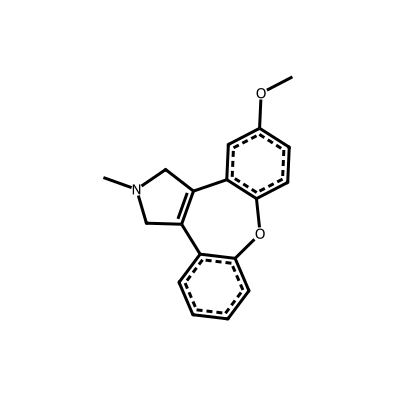 COc1ccc2c(c1)C1=C(CN(C)C1)c1ccccc1O2